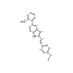 O=Cc1ccccc1-c1ccc2[nH]c(/C=C/c3ccc(CF)cc3)nc2c1